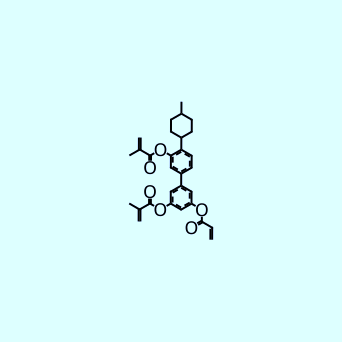 C=CC(=O)Oc1cc(OC(=O)C(=C)C)cc(-c2ccc(C3CCC(C)CC3)c(OC(=O)C(=C)C)c2)c1